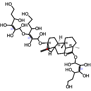 C=C1CC23CCC4[C@](C)(C(=O)OC(O)/C(O)=C(/O)C(O)CCO)CCC[C@@]4(C)[C@@H]2CC[C@]1(OC(O)/C(O)=C(/OC(O)/C(O)=C(/O)C(O)CCO)C(O)CCO)[C@@H]3C